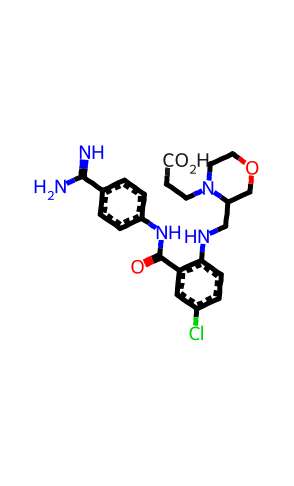 N=C(N)c1ccc(NC(=O)c2cc(Cl)ccc2NCC2COCCN2CCC(=O)O)cc1